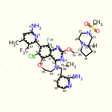 Cc1cc(N)nc(-c2c(Cl)c3c4c(nc(OC[C@H]5CC[C@@H]6CN(S(C)(=O)=O)CCN56)nc4c2F)N([C@H](C)c2cccnc2N)CCO3)c1C(F)(F)F